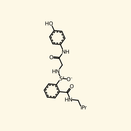 CC(C)CNC(=O)c1ccccc1[S+]([O-])NCC(=O)Nc1ccc(O)cc1